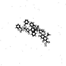 O=[PH2]OC(OCc1ccccc1)(OCc1ccccc1)C1CN(c2ccc(OC[C@]3(OP(=O)(OCc4ccccc4)OCc4ccccc4)C[C@H]4COc5c(c(F)cc6c(=O)c(C(=O)O)cn(C7CC7)c56)N4C3)c(F)c2)C(=O)O1